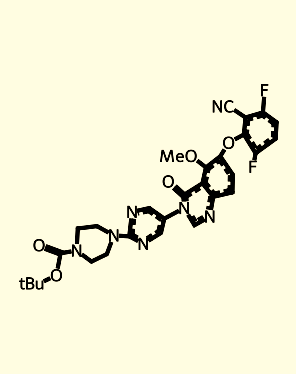 COc1c(Oc2c(F)ccc(F)c2C#N)ccc2ncn(-c3cnc(N4CCN(C(=O)OC(C)(C)C)CC4)nc3)c(=O)c12